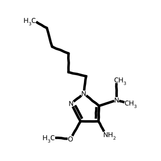 CCCCCCn1nc(OC)c(N)c1N(C)C